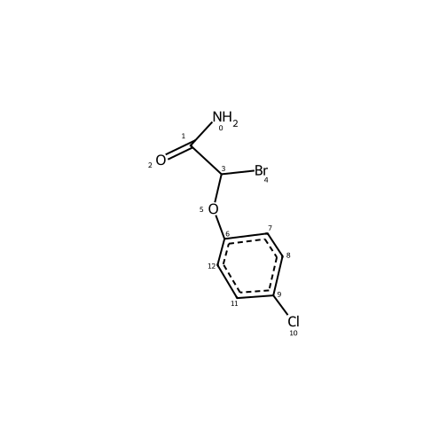 NC(=O)C(Br)Oc1ccc(Cl)cc1